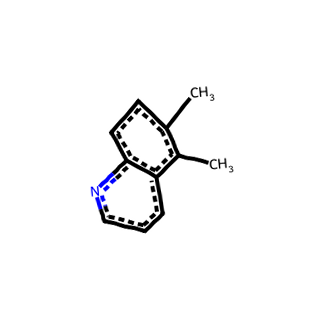 Cc1ccc2ncccc2c1C